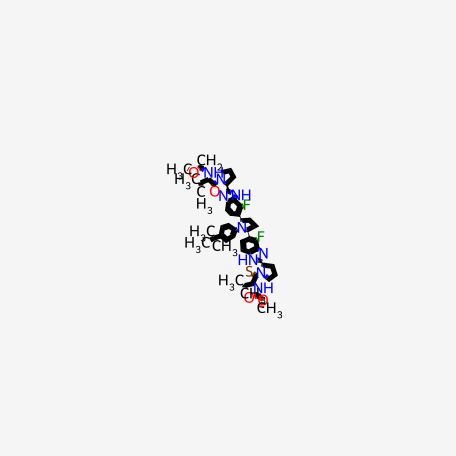 C=C(NC(C(=O)N1CCC[C@H]1c1nc2ccc([C@@H]3CC[C@H](c4ccc5[nH]c([C@@H]6CCCN6C(=S)[C@@H](NC(=O)OC)C(C)C)nc5c4F)N3c3ccc(C(C)(C)C)cc3)c(F)c2[nH]1)C(C)C)OC